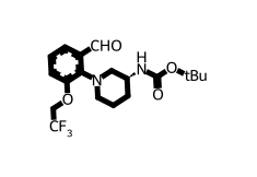 CC(C)(C)OC(=O)N[C@@H]1CCCN(c2c(C=O)cccc2OCC(F)(F)F)C1